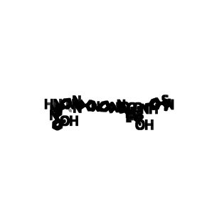 Cc1ncsc1-c1ccc(CNC(=O)[C@@H]2C[C@@H](O)CN2C(=O)C(c2cc(N3CC4(CCC(N5CCC(c6cnc(N7CCc8[nH]c9nnc(-c%10ccccc%10O)cc9c8[C@H]7C)nc6)CC5)CC4)C3)no2)C(C)C)cc1